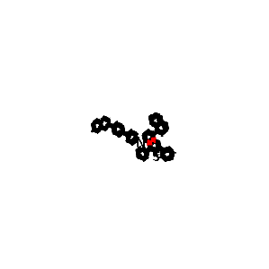 c1ccc(N(c2ccc(-c3ccc(-c4ccc5ccccc5c4)cc3)cc2)c2ccc(-c3cccc4ccccc34)cc2)c(-c2cccc3c2sc2ccccc23)c1